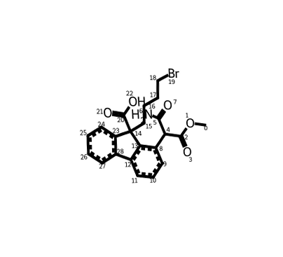 COC(=O)C(C(N)=O)c1cccc2c1C(CCCCBr)(C(=O)O)c1ccccc1-2